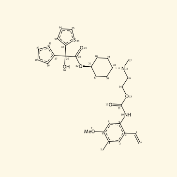 C=Cc1cc(C)c(OC)cc1NC(=O)OCCN(C)[C@H]1CC[C@H](OC(=O)C(O)(c2cccs2)c2cccs2)CC1